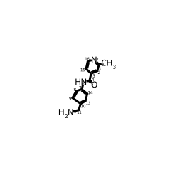 Cc1cc(C(=O)Nc2ccc(CN)cc2)ccn1